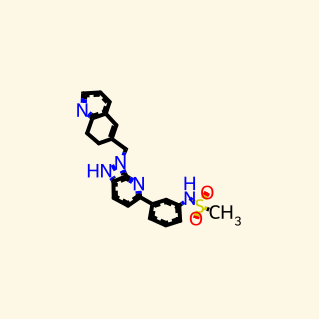 CS(=O)(=O)Nc1cccc(-c2ccc3[nH]n(CC4=Cc5cccnc5CC4)c3n2)c1